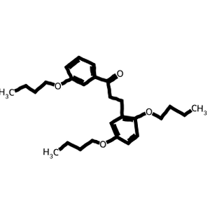 CCCCOc1cccc(C(=O)CCc2cc(OCCCC)ccc2OCCCC)c1